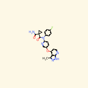 Cc1n[nH]c2nccc(Oc3ccc(N(C(=O)C4(C(N)=O)CC4)c4ccc(F)cc4)nc3)c12